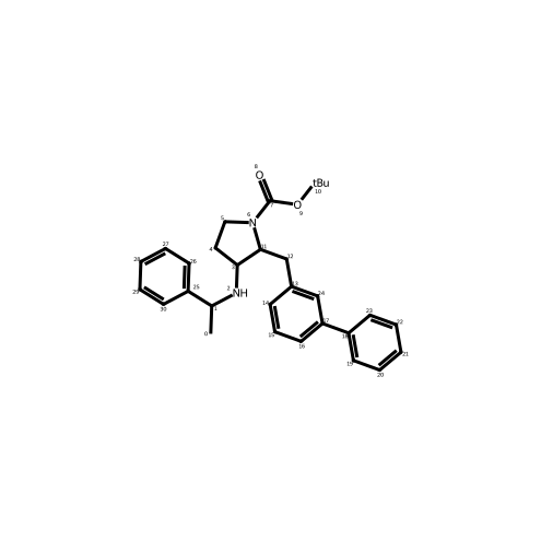 CC(NC1CCN(C(=O)OC(C)(C)C)C1Cc1cccc(-c2ccccc2)c1)c1ccccc1